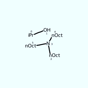 CC(C)O.CCCCCCCCN(CCCCCCCC)CCCCCCCC